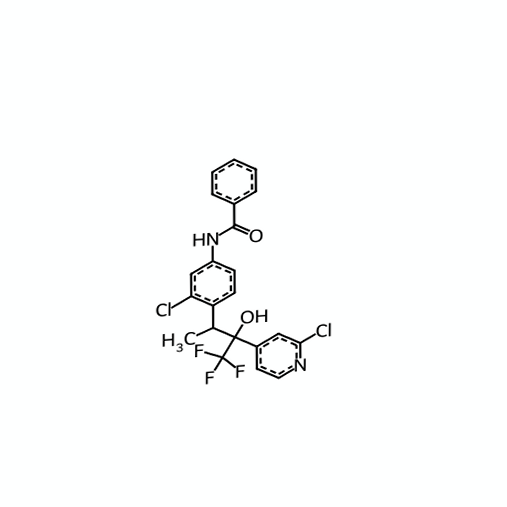 CC(c1ccc(NC(=O)c2ccccc2)cc1Cl)C(O)(c1ccnc(Cl)c1)C(F)(F)F